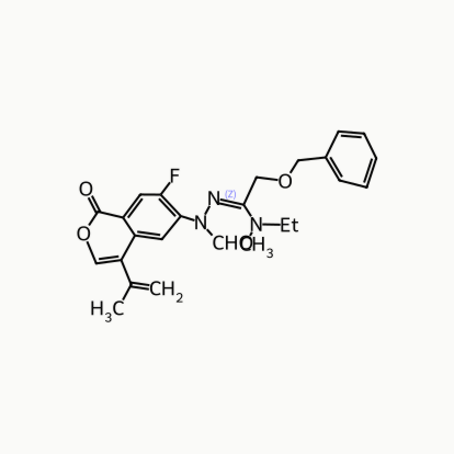 C=C(C)c1coc(=O)c2cc(F)c(N(C=O)/N=C(/COCc3ccccc3)N(C)CC)cc12